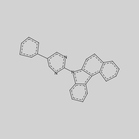 c1ccc(-c2cnc(-n3c4ccccc4c4c5ccccc5ccc43)nc2)cc1